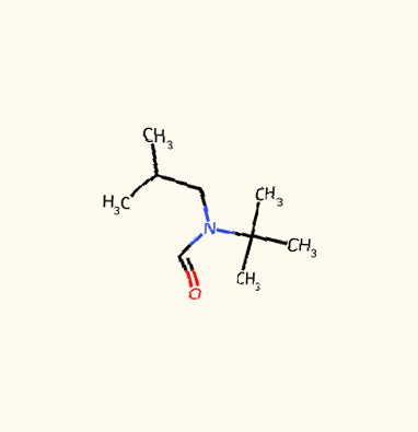 CC(C)CN(C=O)C(C)(C)C